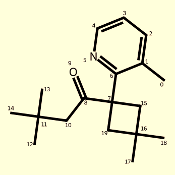 Cc1cccnc1C1(C(=O)CC(C)(C)C)CC(C)(C)C1